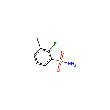 NS(=O)(=O)c1cccc(I)c1F